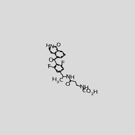 CC(NC(=O)CCNC(=O)O)c1cc(F)c(C(=O)c2cccc3c(=O)[nH]ccc23)c(F)c1